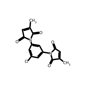 CC1=CC(=O)N(c2cc(Cl)cc(N3C(=O)C=C(C)C3=O)c2)C1=O